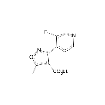 CCOC(=O)c1c(-c2ccncc2F)noc1C